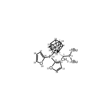 CC(P(C(C)(C)C)C(C)(C)C)[C@]12[CH]3[CH]4[CH]5[C]1(P(c1ccco1)c1ccco1)[Fe]45321678[CH]2[CH]1[CH]6[CH]7[CH]28